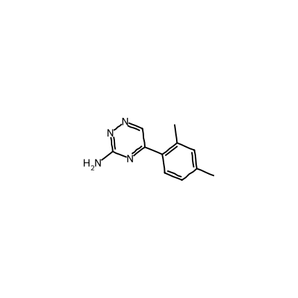 Cc1ccc(-c2cnnc(N)n2)c(C)c1